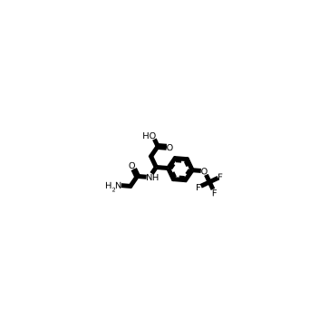 NCC(=O)NC(CC(=O)O)c1ccc(OC(F)(F)F)cc1